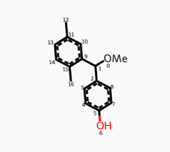 COC(c1ccc(O)cc1)c1cc(C)ccc1C